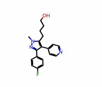 Cn1nc(-c2ccc(F)cc2)c(-c2ccncc2)c1CCCCO